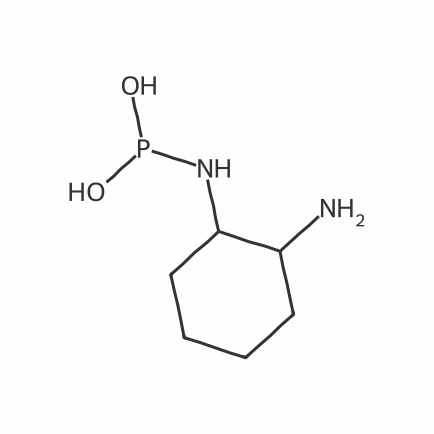 NC1CCCCC1NP(O)O